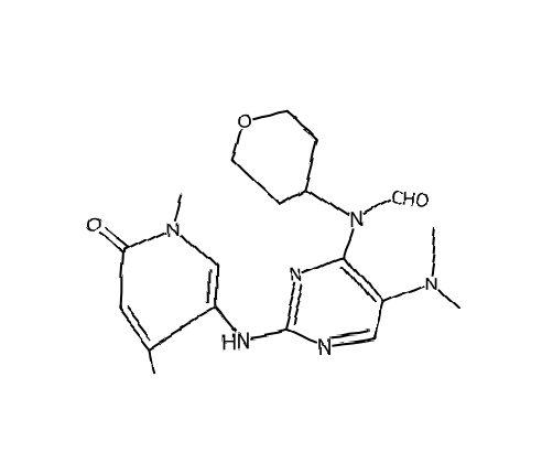 Cc1cc(=O)n(C)cc1Nc1ncc(N(C)C)c(N(C=O)C2CCOCC2)n1